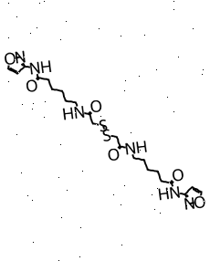 O=C(CSSCC(=O)NCCCCCC(=O)Nc1ccon1)NCCCCCC(=O)Nc1ccon1